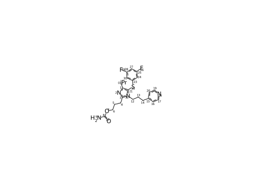 CC(C)c1nc(CCCOC(N)=O)n(CCCc2ccncc2)c1Sc1cc(F)cc(F)c1